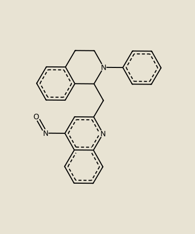 O=Nc1cc(CC2c3ccccc3CCN2c2ccccc2)nc2ccccc12